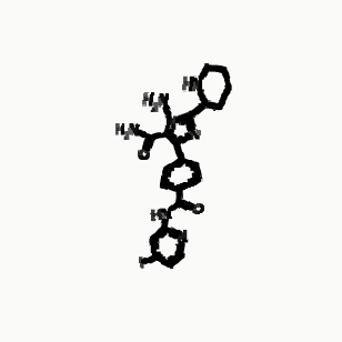 NC(=O)c1c(-c2ccc(C(=O)Nc3cc(I)ccn3)cc2)nc(C2CCCCN2)n1N